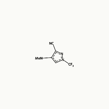 CNc1cn(C(F)(F)F)nc1C#N